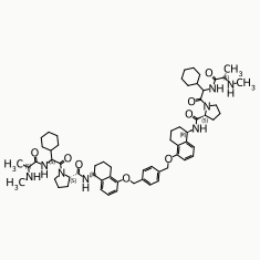 CN[C@@H](C)C(=O)NC(C(=O)N1CCC[C@H]1C(=O)N[C@@H]1CCCc2c(OCc3ccc(COc4cccc5c4CCC[C@H]5NC(=O)[C@@H]4CCCN4C(=O)[C@@H](NC(=O)[C@H](C)NC)C4CCCCC4)cc3)cccc21)C1CCCCC1